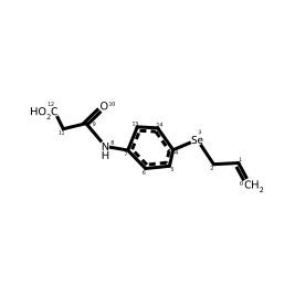 C=CC[Se]c1ccc(NC(=O)CC(=O)O)cc1